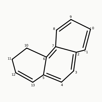 [c]1[c]c2ccc3c(c2cc1)CCC=C3